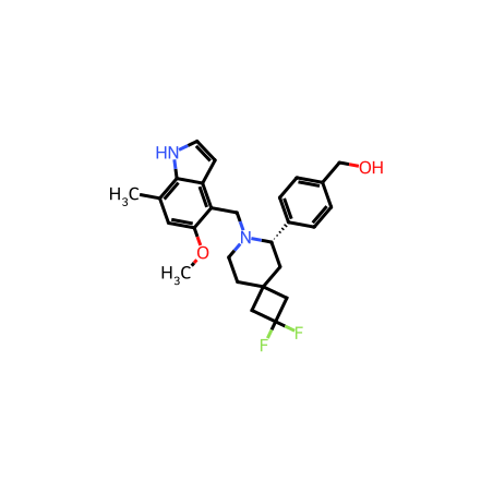 COc1cc(C)c2[nH]ccc2c1CN1CCC2(C[C@H]1c1ccc(CO)cc1)CC(F)(F)C2